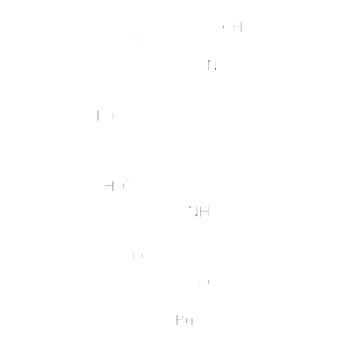 C=N/C(Cl)=C(\C=C(/C)NC(=O)OC(C)(C)C)C(F)(F)F